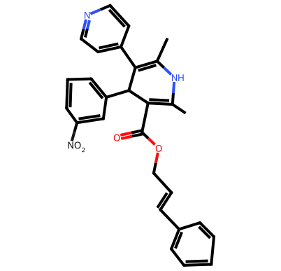 CC1=C(C(=O)OCC=Cc2ccccc2)C(c2cccc([N+](=O)[O-])c2)C(c2ccncc2)=C(C)N1